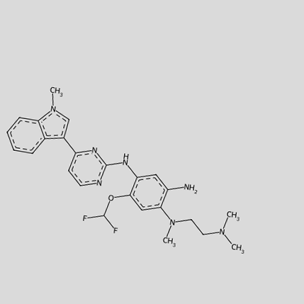 CN(C)CCN(C)c1cc(OC(F)F)c(Nc2nccc(-c3cn(C)c4ccccc34)n2)cc1N